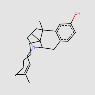 CCCCCC1(C)C2Cc3ccc(O)cc3C1(C)CCN2CC=C(C)C